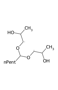 CCCCCC(O[CH]C(C)O)O[CH]C(C)O